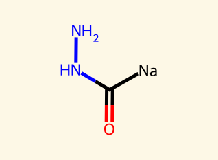 NN[C](=O)[Na]